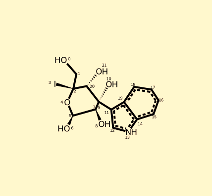 OC[C@@]1(I)O[C@H](O)[C@H](O)[C@](O)(c2c[nH]c3ccccc23)[C@H]1O